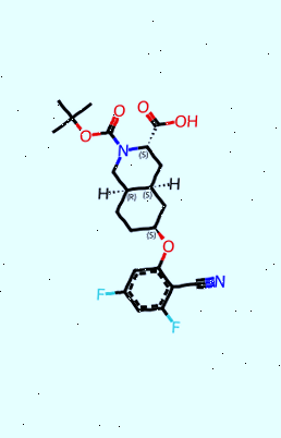 CC(C)(C)OC(=O)N1C[C@@H]2CC[C@H](Oc3cc(F)cc(F)c3C#N)C[C@@H]2C[C@H]1C(=O)O